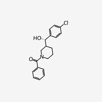 O=C(c1ccccc1)N1CCCC([C@H](O)c2ccc(Cl)cc2)C1